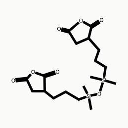 C[Si](C)(CCCC1CC(=O)OC1=O)O[Si](C)(C)CCCC1CC(=O)OC1=O